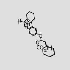 O=C(O)OC(CC1CCCCC1)Oc1ccc2c(c1)[C@@]13CCCC[C@H]1[C@@H](C2)NCC3